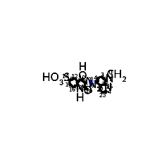 C=Nc1ccc(/N=N/c2c(O)c3cc(S(=O)(=O)O)ccc3[nH]c2=O)c2cccnc12